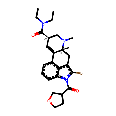 CCN(CC)C(=O)[C@@H]1C=C2c3cccc4c3c(c(Br)n4C(=O)C3CCOC3)C[C@H]2N(C)C1